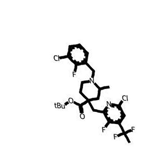 CC1CC(Cc2nc(Cl)cc(C(C)(F)F)c2F)(C(=O)OC(C)(C)C)CCN1Cc1cccc(Cl)c1F